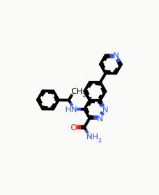 CC(Nc1c(C(N)=O)nnc2cc(-c3ccncc3)ccc12)c1ccccc1